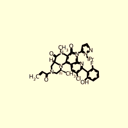 C=CC(=O)N1C[C@@H]2C(=O)N(C)c3c(c4cc(Cl)c(-c5c(O)cccc5F)nc4n(-c4ccnn4C(C)C)c3=O)N2[C@@H](C)C1